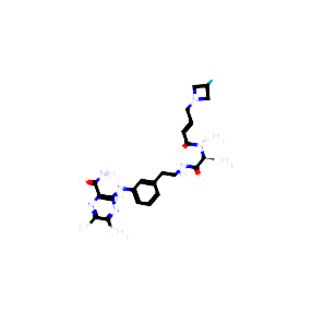 CCc1nc(C(N)=O)c(Nc2cccc(CCNC(=O)[C@H](C)N(C)C(=O)/C=C/CN3CC(F)C3)c2)nc1C